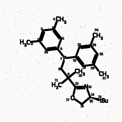 Cc1cc(C)cc(P(CC(C)(C)C2=N[C@@H](C(C)(C)C)CO2)c2cc(C)cc(C)c2)c1